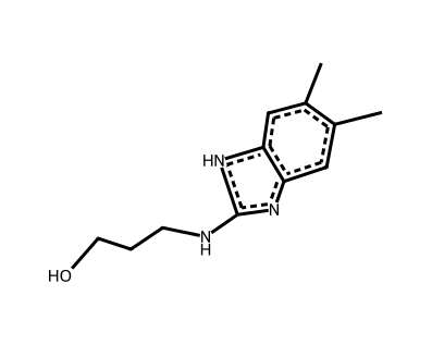 Cc1cc2nc(NCCCO)[nH]c2cc1C